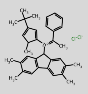 C/[C](c1ccccc1)=[Zr+2](/[C]1=CC(C(C)(C)C)=CC1C)[CH]1c2cc(C)c(C)cc2-c2cc(C)c(C)cc21.[Cl-].[Cl-]